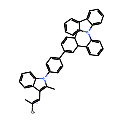 C/C(C#N)=C\c1c(C)n(-c2ccc(C3=CC(c4ccccc4-n4c5ccccc5c5ccccc54)C(C#N)C=C3)cc2)c2ccccc12